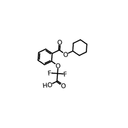 O=C(OC1CCCCC1)c1ccccc1OC(F)(F)C(=O)O